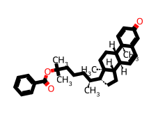 C[C@H](CCCC(C)(C)OC(=O)c1ccccc1)[C@H]1CC[C@H]2[C@@H]3C=CC4=CC(=O)C=C[C@]4(C)[C@H]3CC[C@]12C